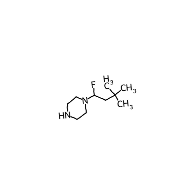 CC(C)(C)CC(F)N1CCNCC1